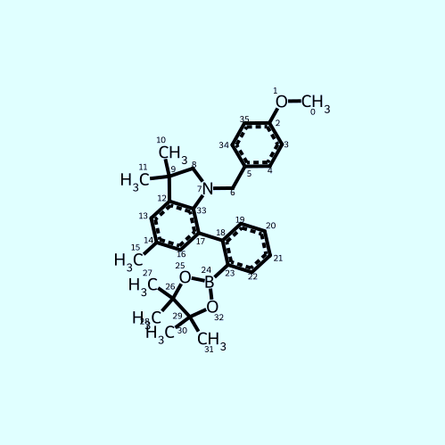 COc1ccc(CN2CC(C)(C)c3cc(C)cc(-c4ccccc4B4OC(C)(C)C(C)(C)O4)c32)cc1